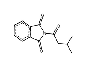 CC(C)CC(=O)N1C(=O)c2ccccc2C1=O